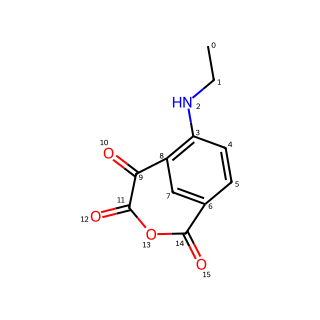 CCNc1ccc2cc1C(=O)C(=O)OC2=O